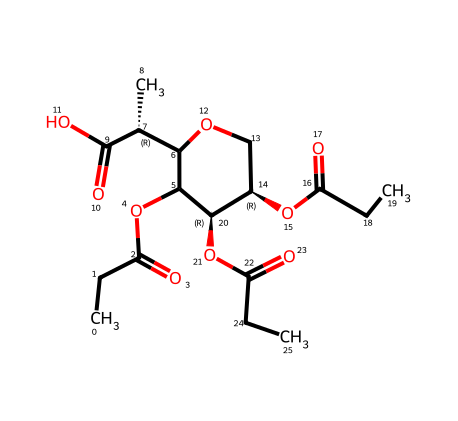 CCC(=O)OC1C([C@@H](C)C(=O)O)OC[C@@H](OC(=O)CC)[C@H]1OC(=O)CC